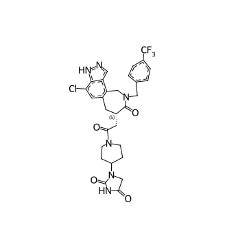 O=C1CN(C2CCN(C(=O)C[C@@H]3Cc4cc(Cl)c5[nH]ncc5c4CN(Cc4ccc(C(F)(F)F)cc4)C3=O)CC2)C(=O)N1